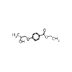 CCOC(=O)c1ccc(OCC(C)O)cc1